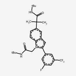 CC(C)(C)NC(=O)Cn1c(-c2cc(F)cc(C(F)(F)F)c2)cc2cc(C(C)(C)C(=O)NC(C)(C)C)ccc21